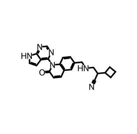 N#CC(CNCc1ccc2c(ccc(=O)n2-c2ncnc3[nH]ccc23)c1)C1CCC1